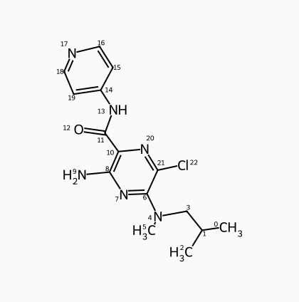 CC(C)CN(C)c1nc(N)c(C(=O)Nc2ccncc2)nc1Cl